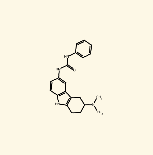 CN(C)C1CCc2[nH]c3ccc(NC(=O)Nc4ccccc4)cc3c2C1